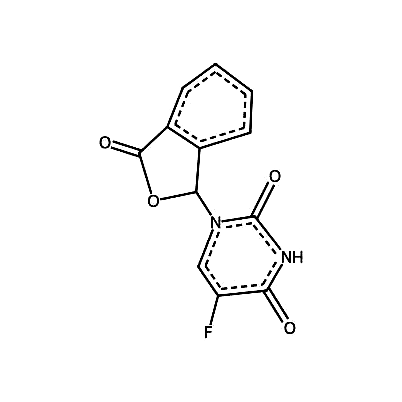 O=C1OC(n2cc(F)c(=O)[nH]c2=O)c2ccccc21